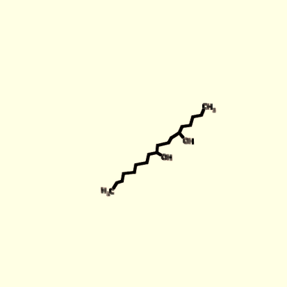 CCCCCCCCC(O)CCCC(O)CCCCC